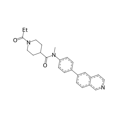 CCC(=O)N1CCC(C(=O)N(C)c2ccc(-c3ccc4cnccc4c3)cc2)CC1